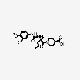 CCCC(C)(NC(=O)Nc1ccc(OC)c(Cl)c1)C(=O)N1CCC(C(=O)O)CC1